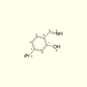 CC(C)c1ccc(C=N)c(O)c1